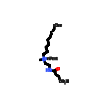 CCCCCCCCCCCCCCCCCC[N+](C)(CCCCC)CCNC(=O)CCC(=O)O